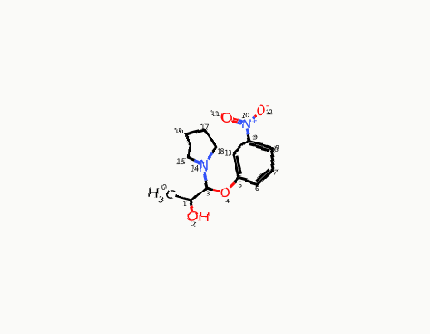 CC(O)C(Oc1cccc([N+](=O)[O-])c1)N1CCCC1